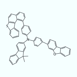 CC1(C)c2ccccc2-c2ccc(N(c3ccc(-c4ccc5c(c4)oc4ccccc45)cc3)c3ccc(-c4cccc5ccc6sc7ccccc7c6c45)cc3)cc21